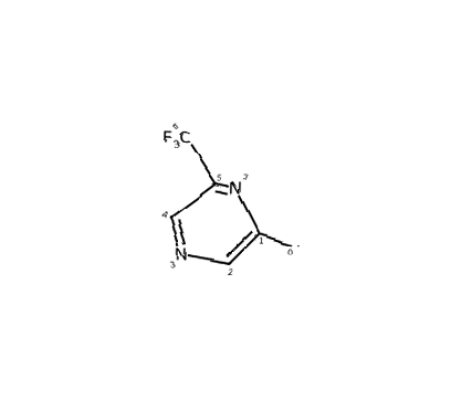 [CH2]c1cncc(C(F)(F)F)n1